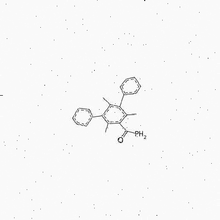 Cc1c(C(=O)P)c(C)c(-c2ccccc2)c(C)c1-c1ccccc1